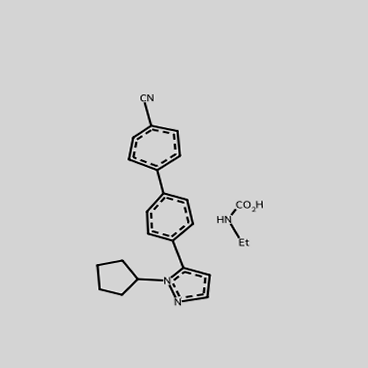 CCNC(=O)O.N#Cc1ccc(-c2ccc(-c3ccnn3C3CCCC3)cc2)cc1